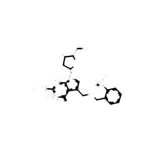 Nc1nc2c(c(COCc3ccccc3[N+](=O)[O-])cn2[C@H]2C[C@@H](O)[C@@H](CO)O2)c(=O)[nH]1